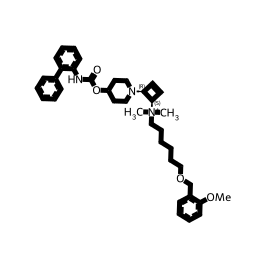 COc1ccccc1COCCCCCC[N+](C)(C)[C@H]1C=C[C@H]1N1CCC(OC(=O)Nc2ccccc2-c2ccccc2)CC1